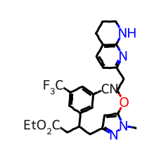 CCOC(=O)CC(Cc1cc(OCCc2ccc3c(n2)NCCC3)n(C)n1)c1cc(C#N)cc(C(F)(F)F)c1